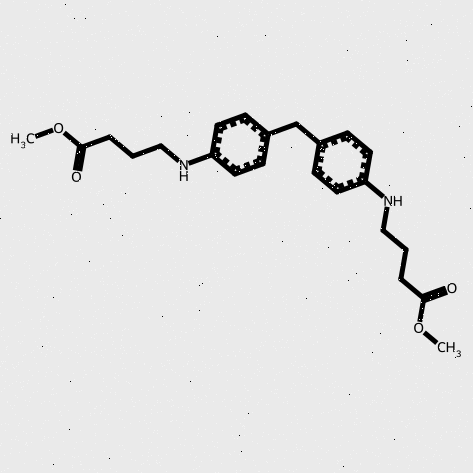 COC(=O)CCCNc1ccc(Cc2ccc(NCCCC(=O)OC)cc2)cc1